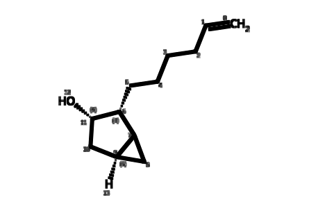 C=CCCCC[C@@H]1C2C[C@H]2C[C@@H]1O